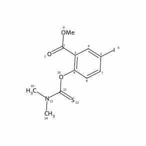 COC(=O)c1cc(I)ccc1OC(=S)N(C)C